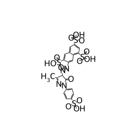 CC1=NN(c2ccc(S(=O)(=O)O)cc2)C(=O)C1N=Nc1cc2c(S(=O)(=O)O)cc(S(=O)(=O)O)cc2cc1S(=O)(=O)O